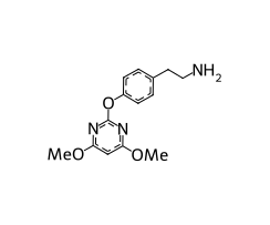 COc1cc(OC)nc(Oc2ccc(CCN)cc2)n1